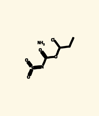 CCC(Cl)OC(=O)N=S(=O)=O.N